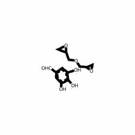 C(OCC1CO1)C1CO1.O=Cc1cc(O)c(O)c(O)c1